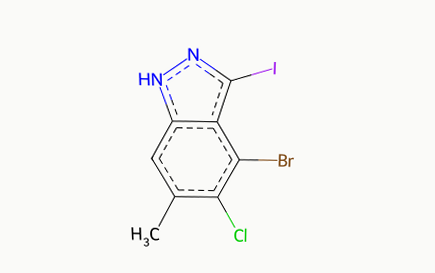 Cc1cc2[nH]nc(I)c2c(Br)c1Cl